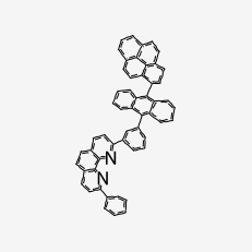 c1ccc(-c2ccc3ccc4ccc(-c5cccc(-c6c7ccccc7c(-c7ccc8ccc9cccc%10ccc7c8c9%10)c7ccccc67)c5)nc4c3n2)cc1